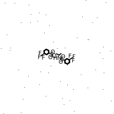 CC(COS(=O)(=O)c1cccc(C(F)(F)F)c1)NS(=O)(=O)c1cccc(C(F)(F)F)c1